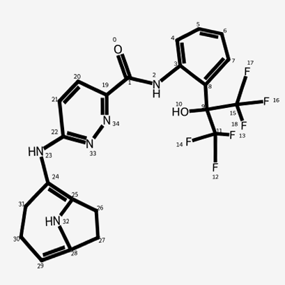 O=C(Nc1ccccc1C(O)(C(F)(F)F)C(F)(F)F)c1ccc(NC2=C3CCC(=CCC2)N3)nn1